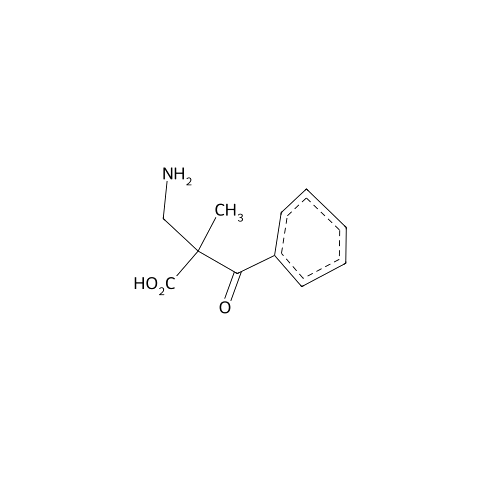 CC(CN)(C(=O)O)C(=O)c1ccccc1